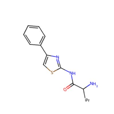 CC(C)C(N)C(=O)Nc1nc(-c2ccccc2)cs1